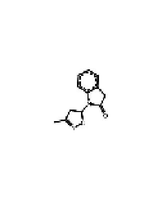 CC1=NOC(N2C(=O)Cc3ccccc32)C1